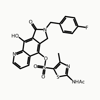 CC(=O)Nc1nc(C)c(S(=O)(=O)Oc2c3c(c(O)c4ncccc24)C(=O)N(Cc2ccc(F)cc2)C3)s1